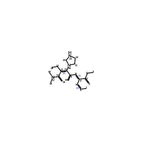 C=C(CC)C(/C=C\C)=C/C(=C)/C(=C(/CC)C(=C)N(C)C)N1CCNC1